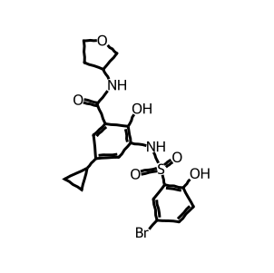 O=C(NC1CCOC1)c1cc(C2CC2)cc(NS(=O)(=O)c2cc(Br)ccc2O)c1O